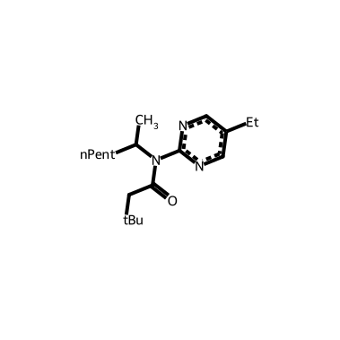 CCCCCC(C)N(C(=O)CC(C)(C)C)c1ncc(CC)cn1